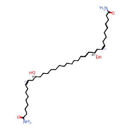 NC(=O)CCCCCCC/C=C\C[C@H](O)CCCCCCCCCCCCCC[C@@H](O)C/C=C\CCCCCCCC(N)=O